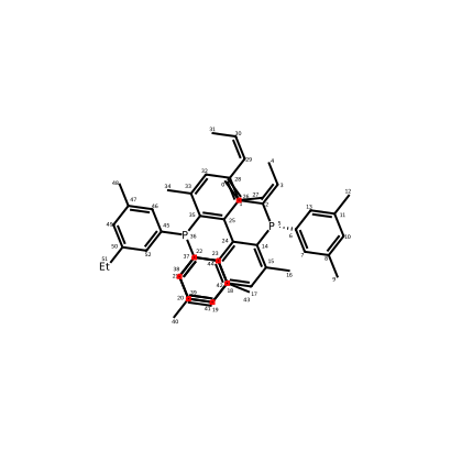 C=C/C(=C\C)[P@](c1cc(C)cc(C)c1)c1c(C)cc2c#cccc2c1-c1c(C)c(/C=C\C)cc(C)c1P(c1cc(C)cc(C)c1)c1cc(C)cc(CC)c1